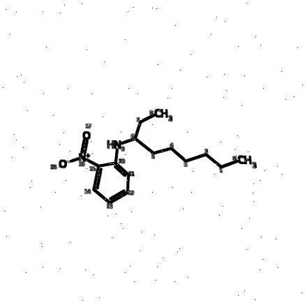 CCCCCCC(CC)Nc1ccccc1[N+](=O)[O-]